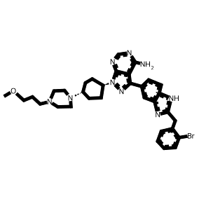 COCCCN1CCN([C@H]2CC[C@@H](n3nc(-c4ccc5[nH]c(Cc6ccccc6Br)nc5c4)c4c(N)ncnc43)CC2)CC1